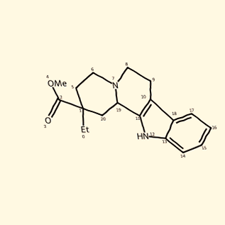 CCC1(C(=O)OC)CCN2CCc3c([nH]c4ccccc34)C2C1